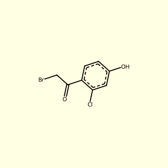 O=C(CBr)c1ccc(O)cc1Cl